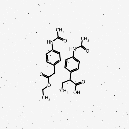 CCC(C(=O)O)c1ccc(NC(C)=O)cc1.CCOC(=O)Cc1ccc(NC(C)=O)cc1